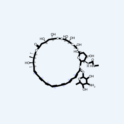 CNC(=O)N[C@H]1C2C[C@@H](OC3OC(C)C(O)C(N)C3O)/C=C/C=C/C=C/C=C/C=C/C=C/C=C/[C@H](C)[C@@H](O)[C@@H](C)[C@H](C)OC(=O)C[C@H](O)C[C@H](O)CC[C@@H](O)[C@H](O)C[C@H](O)C[C@](O)(C[C@@H]1O)O2